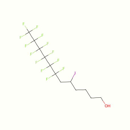 OCCCCC(I)CC(F)(F)C(F)(F)C(F)(F)C(F)(F)C(F)(F)C(F)(F)F